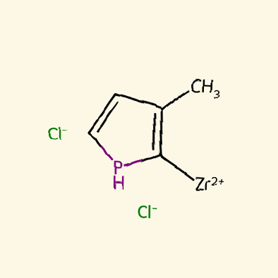 Cc1cc[pH][c]1[Zr+2].[Cl-].[Cl-]